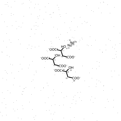 O=C([O-])CC(O)C(=O)[O-].O=C([O-])CC(O)C(=O)[O-].O=C([O-])CC(O)C(=O)[O-].[Nd+3].[Nd+3]